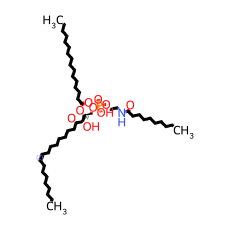 CCCCCCCC/C=C\CCCCCCCC(=O)C(O)[C@H](COP(=O)(O)OCCNC(=O)CCCCCCCCC)OC(=O)CCCCCCCCCCCCCCC